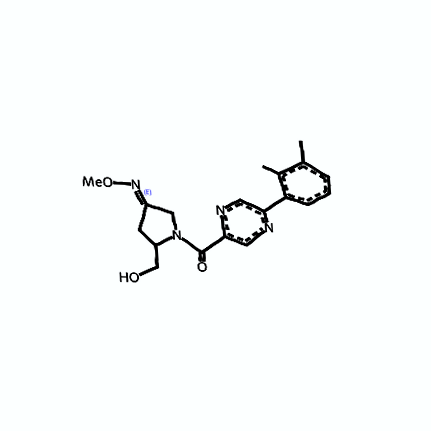 CO/N=C1\CC(CO)N(C(=O)c2cnc(-c3cccc(C)c3C)cn2)C1